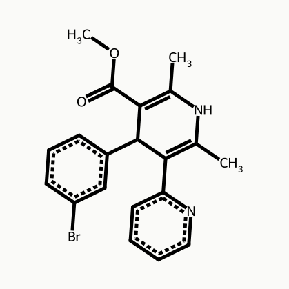 COC(=O)C1=C(C)NC(C)=C(c2ccccn2)C1c1cccc(Br)c1